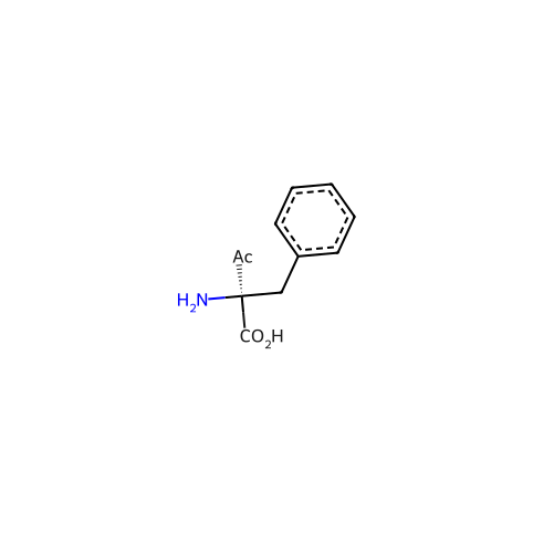 CC(=O)[C@](N)(Cc1ccccc1)C(=O)O